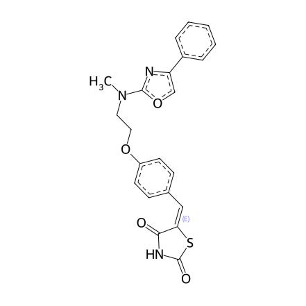 CN(CCOc1ccc(/C=C2/SC(=O)NC2=O)cc1)c1nc(-c2ccccc2)co1